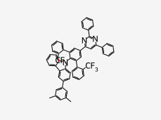 Cc1cc(C)cc(-c2ccc3c(c2)c2ccccc2n3-c2c(-c3ccccc3C(F)(F)F)cc(-c3cc(-c4ccccc4)nc(-c4ccccc4)n3)cc2-c2ccccc2C(F)(F)F)c1